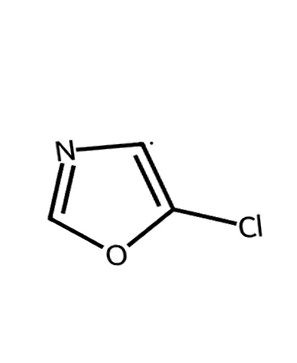 Clc1[c]nco1